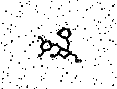 CC(C)n1nc(CO)c(Cc2ccncc2)c1Sc1cc(Cl)cc(Br)c1